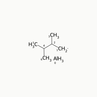 [AlH3].[CH2]C(C)C(C)C